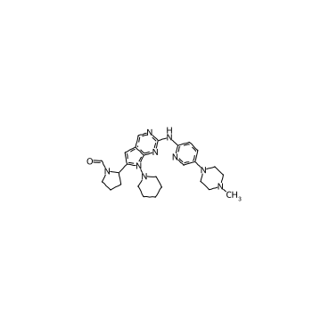 CN1CCN(c2ccc(Nc3ncc4cc(C5CCCN5C=O)n(N5CCCCC5)c4n3)nc2)CC1